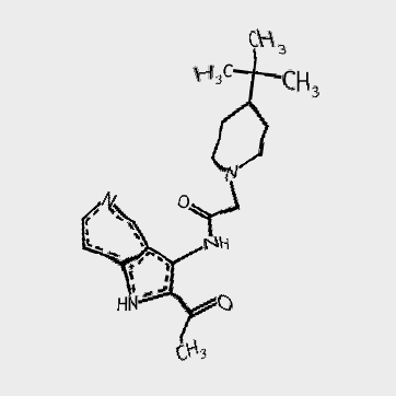 CC(=O)c1[nH]c2ccncc2c1NC(=O)CN1CCC(C(C)(C)C)CC1